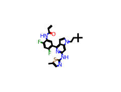 C=CC(=O)Nc1cc(-c2nc(Nc3ncc(C)s3)cc3c2ccn3CCC(C)(C)C)c(F)cc1F